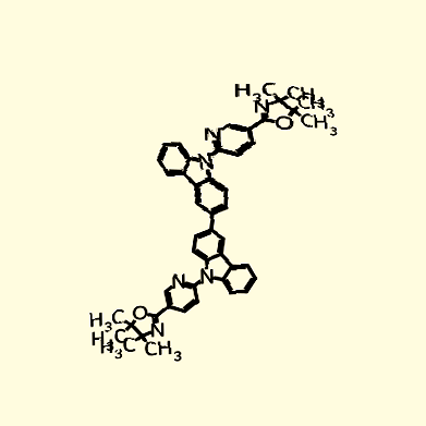 CC1(C)N=C(c2ccc(-n3c4ccccc4c4cc(-c5ccc6c(c5)c5ccccc5n6-c5ccc(C6=NC(C)(C)C(C)(C)O6)cn5)ccc43)nc2)OC1(C)C